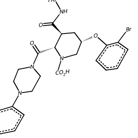 O=C(NO)[C@H]1C[C@H](Oc2ccccc2Br)CN(C(=O)O)[C@@H]1C(=O)N1CCN(c2ccccc2)CC1